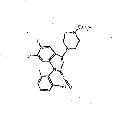 CCc1cccc(C)c1N1C(=C=O)C=C(N2CCN(C(=O)O)CC2)c2cc(F)c(Br)cc21